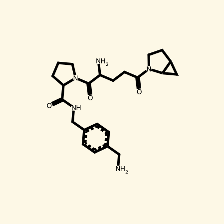 NCc1ccc(CNC(=O)C2CCCN2C(=O)C(N)CCC(=O)N2CCC3CC32)cc1